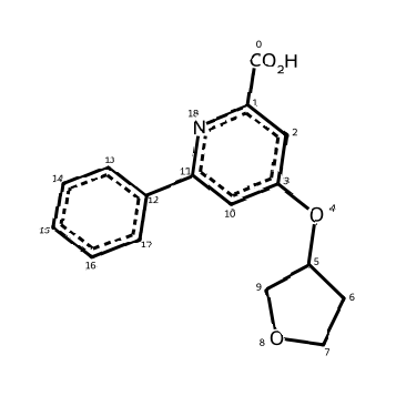 O=C(O)c1cc(OC2CCOC2)cc(-c2ccccc2)n1